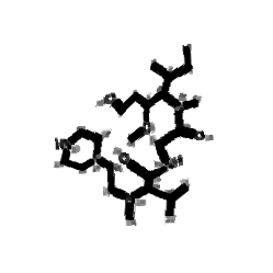 CCC(C)C(C(CC=O)OC)N(C)C(=O)CNC(=O)C(C(C)C)N(C)CCN1CCNCC1